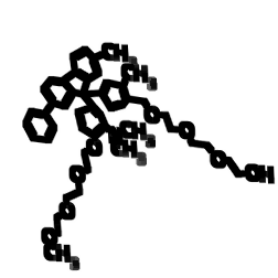 COCCOCCOCCOc1ccc(C2(c3ccc(COCCOCCOCCO)c(C)c3)c3cc(C)ccc3-c3ccc(-c4ccccc4)cc32)cc1N(C)C